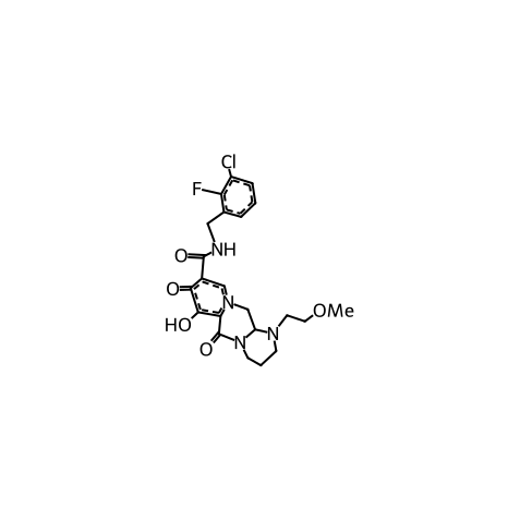 COCCN1CCCN2C(=O)c3c(O)c(=O)c(C(=O)NCc4cccc(Cl)c4F)cn3CC12